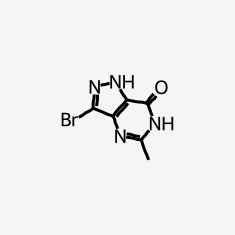 Cc1nc2c(Br)n[nH]c2c(=O)[nH]1